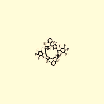 Fc1c(F)c(F)c(-c2c3nc(c(-c4c(Br)cccc4Br)c4ccc([nH]4)c(-c4c(F)c(F)c(F)c(F)c4F)c4nc(c(-c5c(Br)cccc5Br)c5ccc2[nH]5)C=C4)C=C3)c(F)c1F